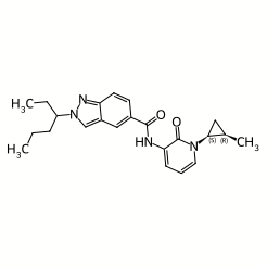 CCCC(CC)n1cc2cc(C(=O)Nc3cccn([C@H]4C[C@H]4C)c3=O)ccc2n1